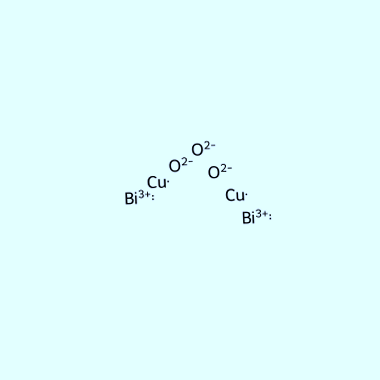 [Bi+3].[Bi+3].[Cu].[Cu].[O-2].[O-2].[O-2]